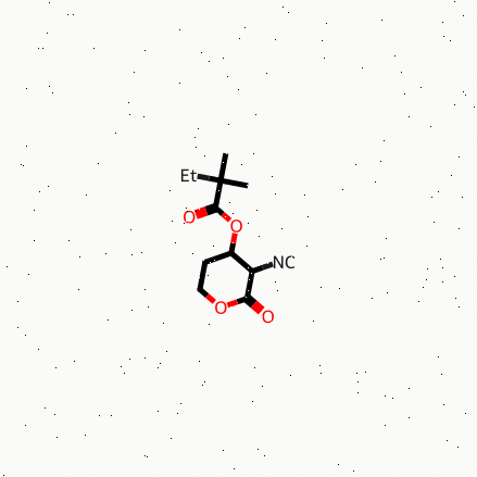 [C-]#[N+]C1C(=O)OCCC1OC(=O)C(C)(C)CC